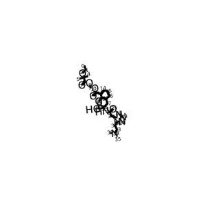 CCOC(C)(C)C(=O)OCOC(=O)c1cccc2c1OB(O)[C@@H](NC(=O)Cc1nnnn1CCN(C)C)C2